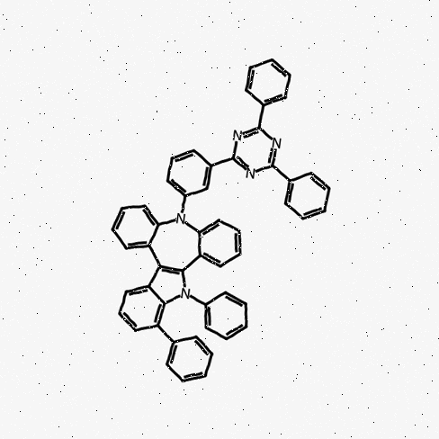 c1ccc(-c2nc(-c3ccccc3)nc(-c3cccc(N4c5ccccc5-c5c(n(-c6ccccc6)c6c(-c7ccccc7)cccc56)-c5ccccc54)c3)n2)cc1